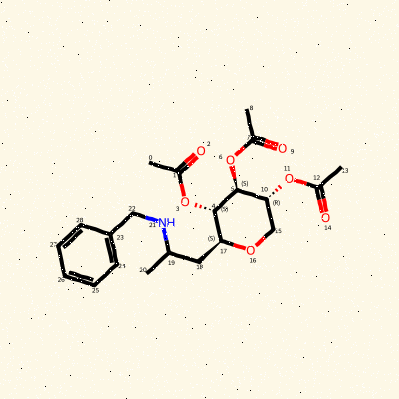 CC(=O)O[C@@H]1[C@@H](OC(C)=O)[C@H](OC(C)=O)CO[C@H]1CC(C)NCc1ccccc1